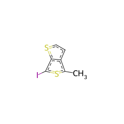 Cc1sc(I)c2sccc12